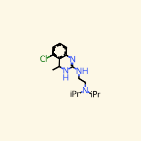 CC1NC(NCCN(C(C)C)C(C)C)=Nc2cccc(Cl)c21